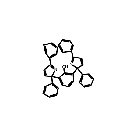 Oc1c(C2(c3ccccc3)C=CC(c3ccccc3)=N2)cccc1C1(c2ccccc2)C=CC(c2ccccc2)=N1